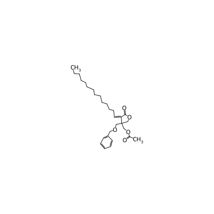 CCCCCCCCCCCCCC=C1C(=O)OCC1(COCc1ccccc1)COC(C)=O